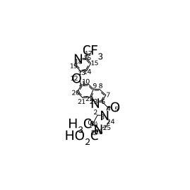 C[C@@H]1CN(C(=O)c2ccc3cc(Oc4ccc(C(F)(F)F)nc4)ccc3n2)CCN1C(=O)O